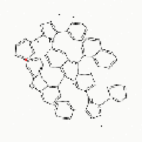 c1ccc(-c2ccc(-c3ccccc3)n2-c2ccc3c(-c4cccc5oc6ccccc6c45)c4cc(-n5c(-c6ccccc6)ccc5-c5ccccc5)ccc4c(-c4cccc5ccccc45)c3c2)cc1